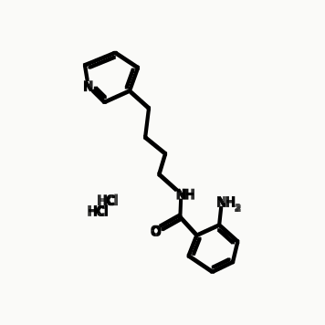 Cl.Cl.Nc1ccccc1C(=O)NCCCCc1cccnc1